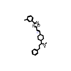 Cc1cccc(-c2noc(/C=C/C3CCC(C(CCc4ccccc4)N(C)C)CC3)n2)c1